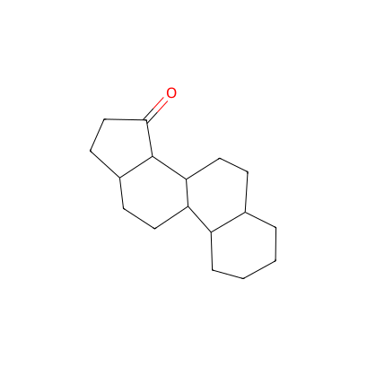 O=C1CCC2CCC3C4CCCCC4CCC3C12